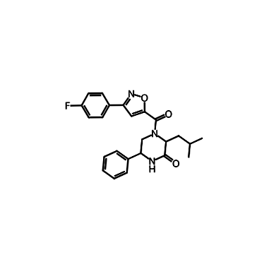 CC(C)CC1C(=O)NC(c2ccccc2)CN1C(=O)c1cc(-c2ccc(F)cc2)no1